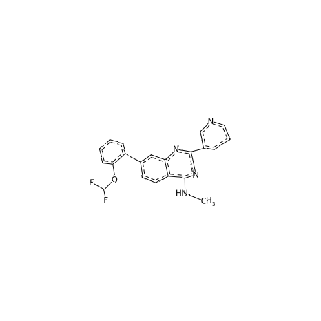 CNc1nc(-c2cccnc2)nc2cc(-c3ccccc3OC(F)F)ccc12